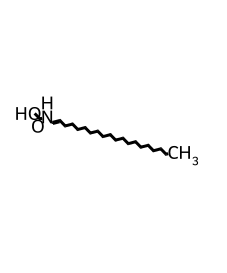 CCCCCCCCCCCCCCCCCCC=CNC(=O)O